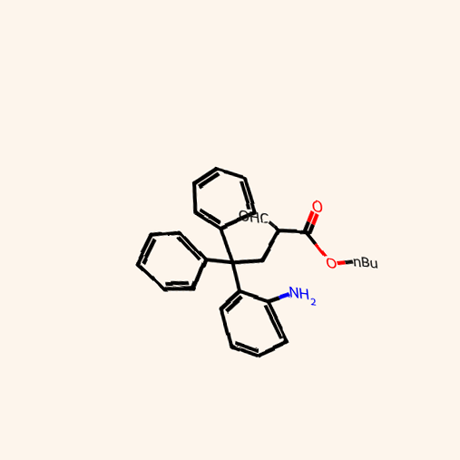 CCCCOC(=O)C(C=O)CC(c1ccccc1)(c1ccccc1)c1ccccc1N